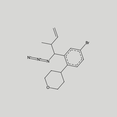 C=CC(C)C(N=[N+]=[N-])c1cc(Br)ccc1C1CCOCC1